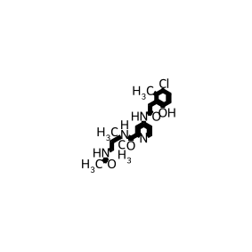 CC(=O)NCCC(C)(C)NC(=O)c1cc(NC(=O)CC2=C(O)C=C[C@H](Cl)C2C)ccn1